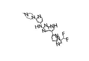 CN1CCN(c2cc(Nc3ncc4c(-c5ccc6ncc(C(F)F)n6n5)c[nH]c4n3)ccn2)CC1